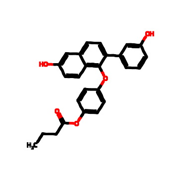 CCCC(=O)Oc1ccc(Oc2c(-c3cccc(O)c3)ccc3cc(O)ccc23)cc1